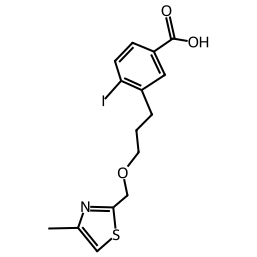 Cc1csc(COCCCc2cc(C(=O)O)ccc2I)n1